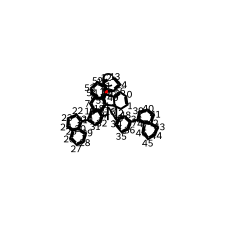 C1=CCC(c2ccccc2-c2ccccc2)(N(c2ccc(-c3cccc4ccccc34)cc2)c2cccc(-c3cccc4ccccc34)c2)C(c2ccccc2)=C1